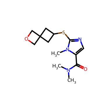 CN(C)C(=O)c1cnc(SC2CC3(COC3)C2)n1C